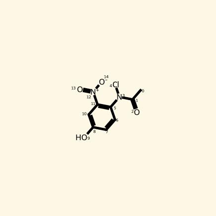 CC(=O)N(Cl)c1ccc(O)cc1[N+](=O)[O-]